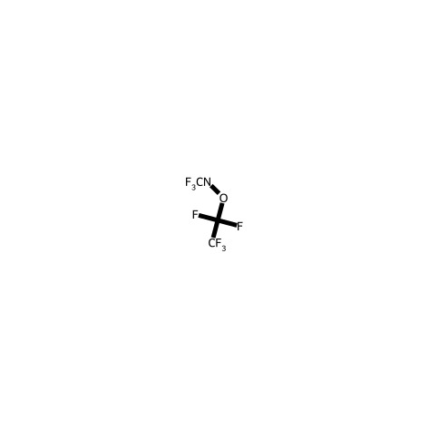 FC(F)(F)NOC(F)(F)C(F)(F)F